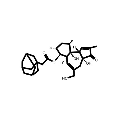 CC1=C[C@H]2[C@@]3(O)[C@H](C)C[C@@H](C)[C@H](OC(=O)CC45CC6CC(CC(C6)C4)C5)[C@@H]3C=C(CO)C[C@]2(O)C1=O